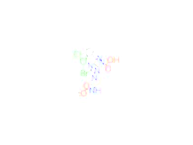 CC1(NC(=O)OC(C)(C)C)CCN(c2nc3c(nc2Br)c(-c2cccc(Cl)c2Cl)nn3C(=O)O)CC1